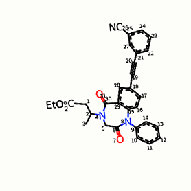 CCOC(=O)CC(C)N1CC(=O)N(c2ccccc2)c2ccc(C#Cc3cccc(C#N)c3)cc2C1=O